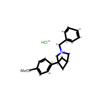 COc1ccc(C23CC(CN(Cc4ccccc4)C2)C3)cc1.Cl